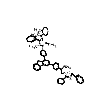 CC=C=C([C@H]1C=C=C(c2cc(-c3ccc(C(N)CN/C(=N\Cc4ccccc4)C4=CC=CCC4)cc3)cc3c2Cc2ccccc2-3)C=C1)N(C)C(/N=C(\C)C1CCCCCC1C)c1ccccc1